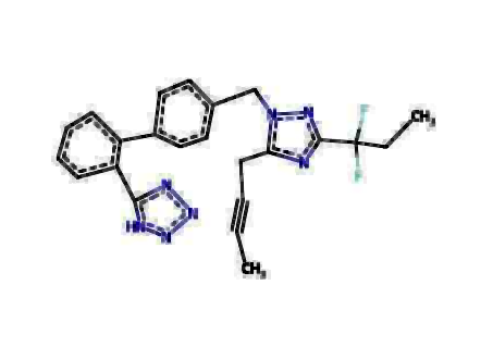 CC#CCc1nc(C(F)(F)CC)nn1Cc1ccc(-c2ccccc2-c2nnn[nH]2)cc1